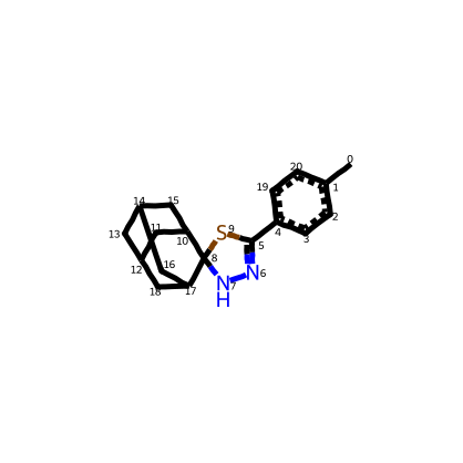 Cc1ccc(C2=NNC3(S2)C2CC4CC(C2)CC3C4)cc1